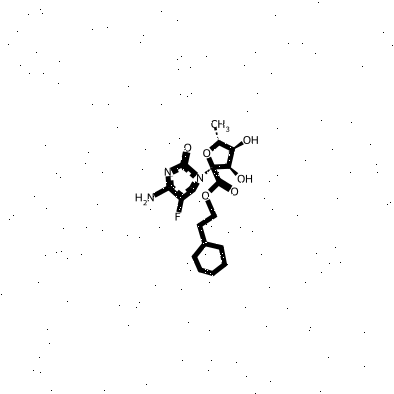 C[C@H]1O[C@@](C(=O)OCCC2CCCCC2)(n2cc(F)c(N)nc2=O)[C@H](O)[C@@H]1O